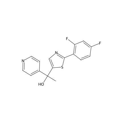 CC(O)(c1ccncc1)c1cnc(-c2ccc(F)cc2F)s1